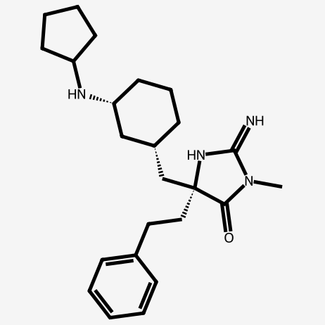 CN1C(=N)N[C@](CCc2ccccc2)(C[C@H]2CCC[C@@H](NC3CCCC3)C2)C1=O